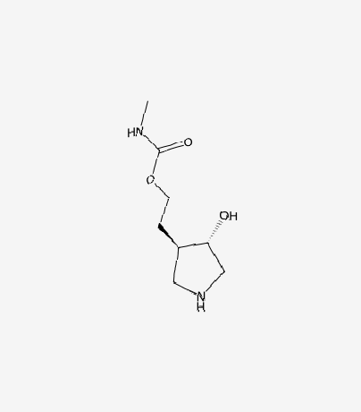 CNC(=O)OCC[C@@H]1CNC[C@H]1O